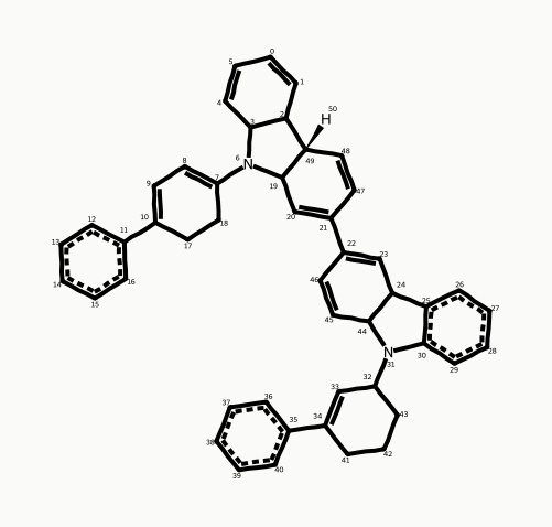 C1=CC2C(C=C1)N(C1=CC=C(c3ccccc3)CC1)C1C=C(C3=CC4c5ccccc5N(C5C=C(c6ccccc6)CCC5)C4C=C3)C=C[C@@H]21